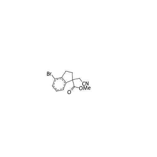 COC(=O)C1(CC#N)CCc2c(Br)cccc21